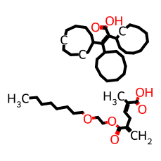 C=C(CC=C(C)C(=O)O)C(=O)OCCOCCCCCCCC.O=C(O)C(=C(C1CCCCCCCCC1)C1CCCCCCCCC1)C1CCCCCCCCC1